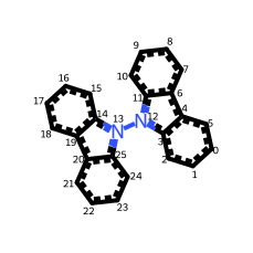 c1ccc2c(c1)c1ccccc1n2-n1c2ccccc2c2ccccc21